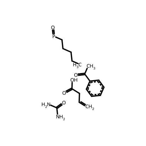 C=CCC(=O)O.CC(=O)c1ccccc1.CCCCCP=O.NC(N)=O